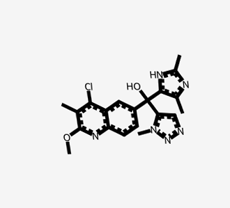 COc1nc2ccc(C(O)(c3[nH]c(C)nc3C)c3cnnn3C)cc2c(Cl)c1C